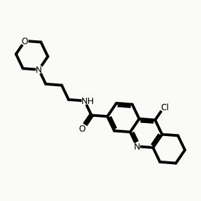 O=C(NCCCN1CCOCC1)c1ccc2c(Cl)c3c(nc2c1)CCCC3